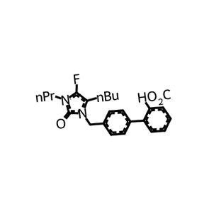 CCCCc1c(F)n(CCC)c(=O)n1Cc1ccc(-c2ccccc2C(=O)O)cc1